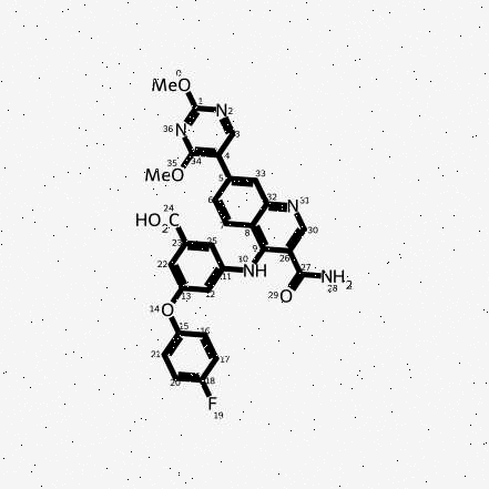 COc1ncc(-c2ccc3c(Nc4cc(Oc5ccc(F)cc5)cc(C(=O)O)c4)c(C(N)=O)cnc3c2)c(OC)n1